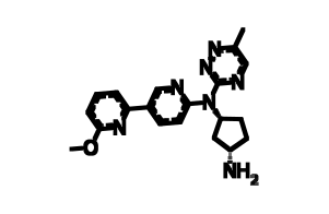 COc1cccc(-c2ccc(N(c3ncc(C)nn3)[C@H]3CC[C@H](N)C3)nc2)n1